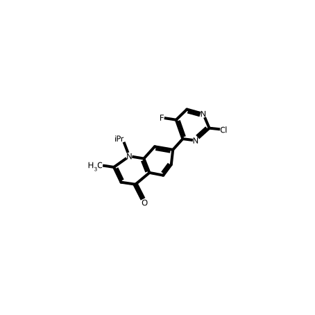 Cc1cc(=O)c2ccc(-c3nc(Cl)ncc3F)cc2n1C(C)C